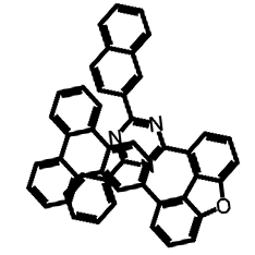 c1ccc(-c2nc(-c3ccc4ccccc4c3)nc(-c3cccc4oc5cccc(-c6ccc7c8ccccc8c8ccccc8c7c6)c5c34)n2)cc1